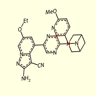 CCOc1cc(-c2cnc(N3CC4CC(C3)N4Cc3ccc(OC)nc3)cn2)c2c(C#N)c(N)nn2c1